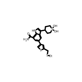 CCSCc1cc(-c2cc(C(N)=O)c3[nH]cc(C4CCS(O)(O)CC4)c3c2)cs1